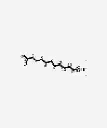 CC(C)CCCCCCCCC[CH2][Sn]